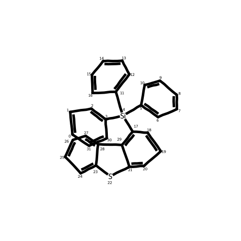 c1ccc([Si](c2ccccc2)(c2ccccc2)c2cccc3sc4ccccc4c23)cc1